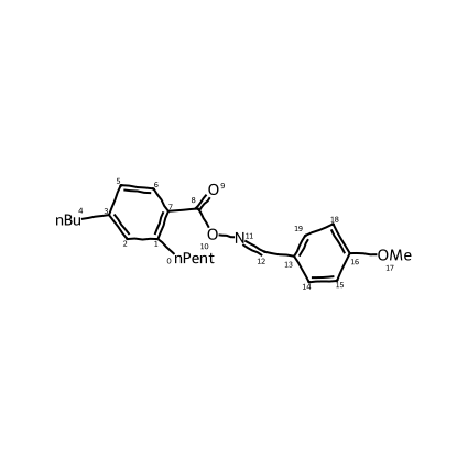 CCCCCc1cc(CCCC)ccc1C(=O)ON=Cc1ccc(OC)cc1